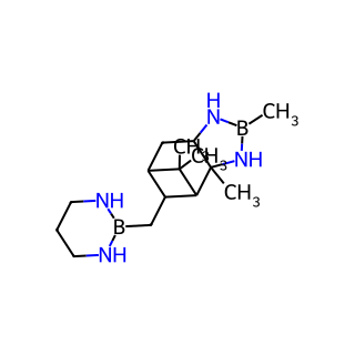 CB1NC2CC3C(CB4NCCCN4)C(C3(C)C)C2(C)N1